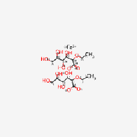 CCOC(C(=O)[O-])C(O)C(O)C(O)CO.CCOC(C(=O)[O-])C(O)C(O)C(O)CO.[Fe+2]